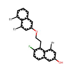 CCc1cccc2cc(OCCc3c(F)ccc4cc(O)cc(C(C)C)c34)cc(CC)c12